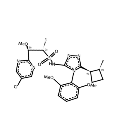 COc1cccc(OC)c1-n1c(NS(=O)(=O)[C@@H](C)[C@H](OC)c2ncc(Cl)cn2)nnc1[C@@H]1CC[C@H]1C